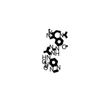 COc1cc2c(cc1Nc1ncc(C)c(Nc3ccc4nccnc4c3[N+](=O)[O-])n1)-c1cnn(C)c1CCN2C(C)C